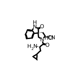 Cl.N#C[C@@H]1C[C@@]2(CN1C(=O)[C@@H](N)CC1CC1)C(=O)Nc1ccccc12